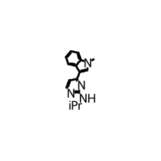 CC(C)Nc1nccc(-c2cn(C)c3ccccc23)n1